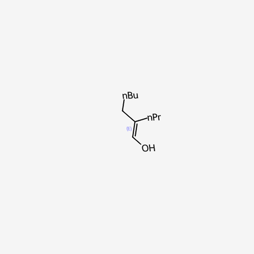 CCCCC/C(=C/O)CCC